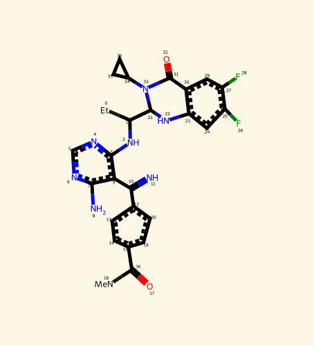 CCC(Nc1ncnc(N)c1C(=N)c1ccc(C(=O)NC)cc1)C1Nc2cc(F)c(F)cc2C(=O)N1C1CC1